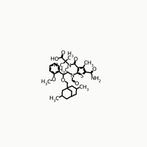 COc1ccccc1C(CN(C=O)c1sc(C(N)=O)c(C)c1C(=O)N(C)C(C)(C)C(=O)O)OCC12CC(C)CC(CC(C)C1)C2